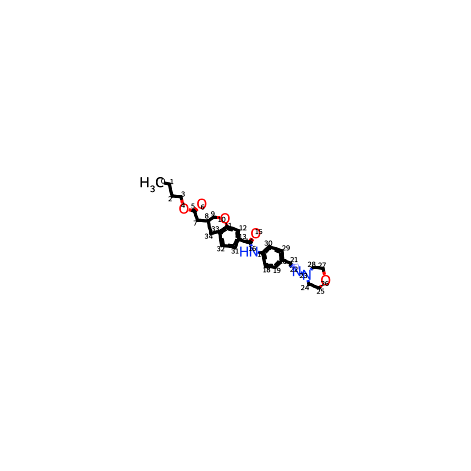 CCCCOC(=O)CC1COc2cc(C(=O)Nc3ccc(/C=N/N4CCOCC4)cc3)ccc2C1